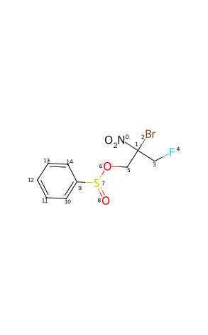 O=[N+]([O-])C(Br)(CF)COS(=O)c1ccccc1